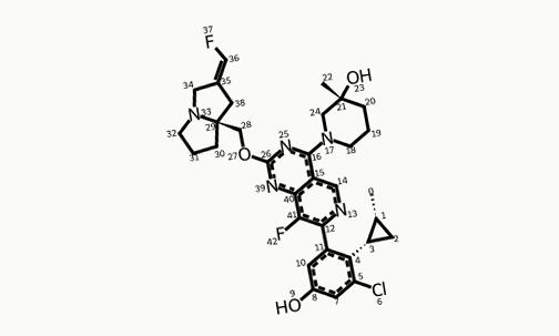 C[C@@H]1C[C@@H]1c1c(Cl)cc(O)cc1-c1ncc2c(N3CCC[C@@](C)(O)C3)nc(OC[C@@]34CCCN3C/C(=C\F)C4)nc2c1F